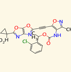 Cc1noc(C#Cc2nc3nc(C4(C(=O)O)CC4)oc3o2)c1NC(=O)OC(C)c1ccccc1Cl